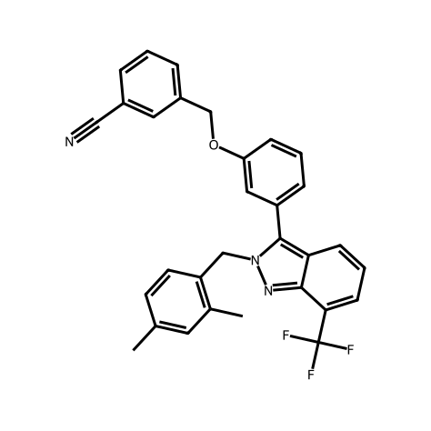 Cc1ccc(Cn2nc3c(C(F)(F)F)cccc3c2-c2cccc(OCc3cccc(C#N)c3)c2)c(C)c1